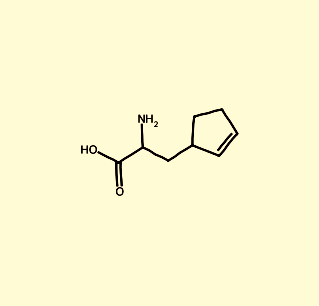 NC(CC1C=CCC1)C(=O)O